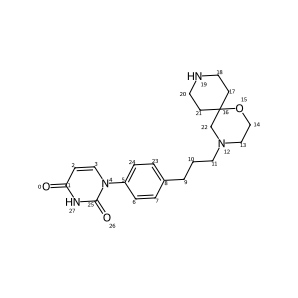 O=c1ccn(-c2ccc(CCCN3CCOC4(CCNCC4)C3)cc2)c(=O)[nH]1